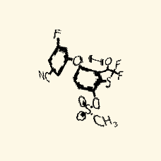 CS(=O)(=O)Oc1ccc(Oc2cc(F)cc(C#N)c2)c2c1SC(F)(F)C2O